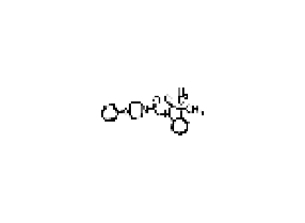 CC1(C)C(=O)N(CC(=O)N2CCN(c3ccccc3)CC2)c2ccccc21